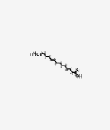 CCCCCCCCCCCCCCCCCCCCCC(O)Br